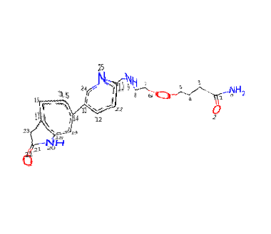 NC(=O)CCCOCCNc1ccc(-c2ccc3c(c2)NC(=O)C3)cn1